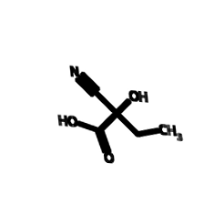 CCC(O)(C#N)C(=O)O